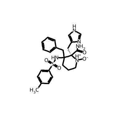 Cc1ccc(S(=O)(=O)NC2(Cc3ccccc3)CCC[NH+]([O-])[C@]2(Cc2c[nH]cn2)C(N)=O)cc1